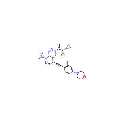 CNc1ncc(C#Cc2ccc(N3CCOCC3)cc2C)c2cc(NC(=O)C3CC3)ncc12